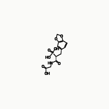 O=C(O)CNC(=O)C(Cc1ccc2c(c1)OCO2)P(=O)(O)O